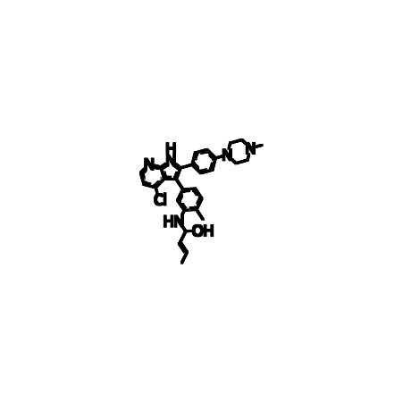 C/C=C/C(O)Nc1cc(-c2c(-c3ccc(N4CCN(C)CC4)cc3)[nH]c3nccc(Cl)c23)ccc1C